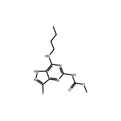 CCCCNc1nc(NC(=O)OC)nc2c(F)n[nH]c12